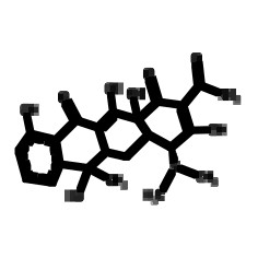 CN(C)[C@@H]1C(O)=C(C(N)=O)C(=O)C2(O)C(O)=C3C(=O)c4c(O)cccc4C(C)(O)C3CC12